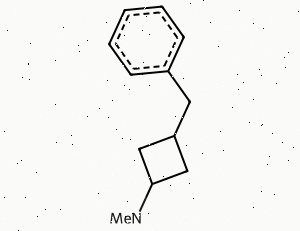 CNC1CC(Cc2ccccc2)C1